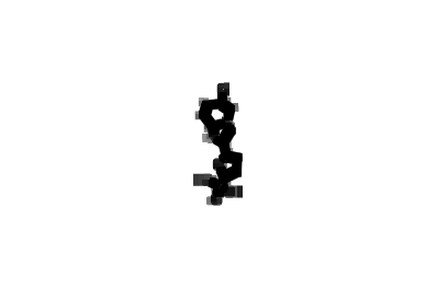 O=P(O)(O)c1ccc(-c2cn3cc(Cl)ccc3n2)o1